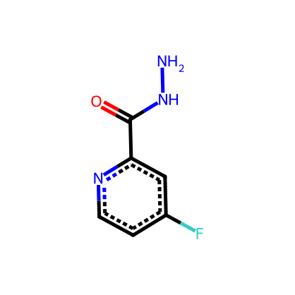 NNC(=O)c1cc(F)ccn1